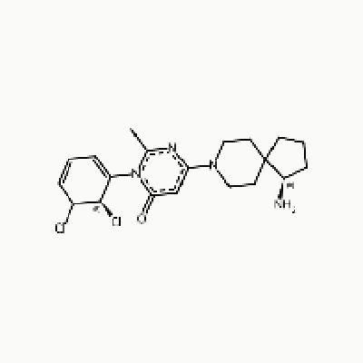 Cc1nc(N2CCC3(CCC[C@H]3N)CC2)cc(=O)n1C1=CC=CC(Cl)[C@@H]1Cl